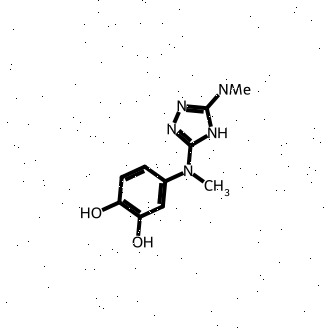 CNc1nnc(N(C)c2ccc(O)c(O)c2)[nH]1